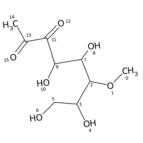 COC(C(O)CO)C(O)C(O)C(=O)C(C)=O